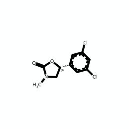 CN1C[C@@H](c2cc(Cl)cc(Cl)c2)OC1=O